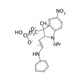 CCCN1c2ccc([N+](=O)[O-])cc2C(C)(C)C1/C=C/Nc1ccccc1.[O-][Cl+2]([O-])O